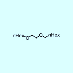 CCCCCCCO[CH]COCCCCCC